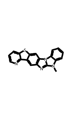 Cn1c2ccccc2n2c3cc4sc5cccnc5c4cc3nc12